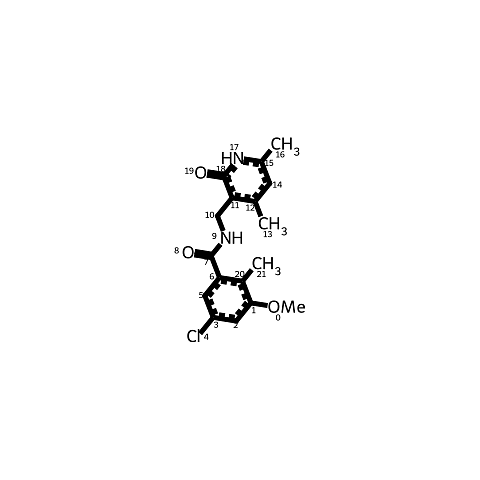 COc1cc(Cl)cc(C(=O)NCc2c(C)cc(C)[nH]c2=O)c1C